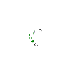 F.F.F.F.I.[Os].[Os]